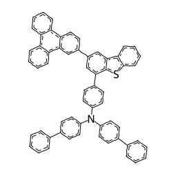 c1ccc(-c2ccc(N(c3ccc(-c4ccccc4)cc3)c3ccc(-c4cc(-c5ccc6c7ccccc7c7ccccc7c6c5)cc5c4sc4ccccc45)cc3)cc2)cc1